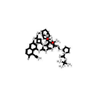 C#Cc1c(F)ccc2cc(OCOC)cc(Oc3nc4nc(OC[C@@H]5CCCN5C(=O)OC(C)(C)C)nc(N5CC6CCC(C5)N6C(=O)OC(C)(C)C)c4n3C3CCC3)c12